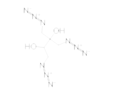 [N-]=[N+]=NCC(O)C(O)(CN=[N+]=[N-])CN=[N+]=[N-]